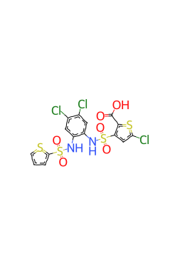 O=C(O)c1sc(Cl)cc1S(=O)(=O)Nc1cc(Cl)c(Cl)cc1NS(=O)(=O)c1cccs1